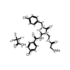 CNCC(=O)OCN1C(=O)N(Cc2ccc(Cl)cc2)SC1NC(=O)c1ccc(Cl)cc1.O=C(O)C(F)(F)F